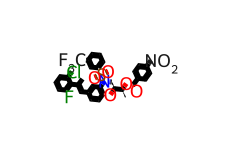 CC(=Cc1ccc2c(c1)N(S(=O)(=O)c1cccc(C(F)(F)F)c1)C[C@H]([C@@H](C)OC(=O)c1ccc([N+](=O)[O-])cc1)O2)c1c(F)cccc1Cl